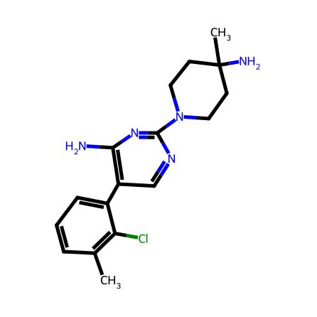 Cc1cccc(-c2cnc(N3CCC(C)(N)CC3)nc2N)c1Cl